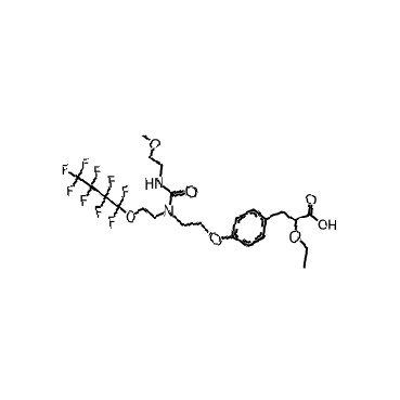 CCOC(Cc1ccc(OCCN(CCOC(F)(F)C(F)(F)C(F)(F)C(F)(F)F)C(=O)NCCOC)cc1)C(=O)O